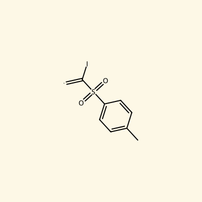 [CH]=C(I)S(=O)(=O)c1ccc(C)cc1